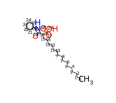 CCCCCCCCCCCCCCCCC(C(=O)Nc1c[c]ccc1)S(=O)(=O)O